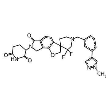 Cn1cc(-c2cccc(CN3CCC4(COc5c4ccc4c5CN(C5CCC(=O)NC5=O)C4=O)C(F)(F)C3)c2)cn1